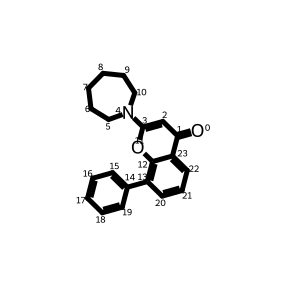 O=c1cc(N2CCCCCC2)oc2c(-c3ccccc3)cccc12